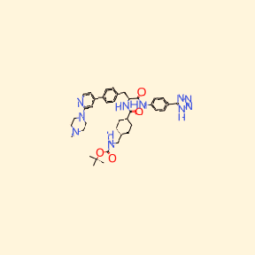 CN1CCN(c2cc(-c3ccc(C[C@H](NC(=O)C4CCC(CNC(=O)OC(C)(C)C)CC4)C(=O)Nc4ccc(-c5nnn[nH]5)cc4)cc3)ccn2)CC1